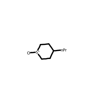 CCCC1CC[S+]([O-])CC1